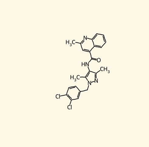 Cc1cc(C(=O)Nc2c(C)nn(Cc3ccc(Cl)c(Cl)c3)c2C)c2ccccc2n1